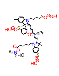 CCCC(/C=C/C1=[N+](CCCCCC(=O)ON(C=O)C(C)=O)c2ccc(SOOO)cc2C1(C)C)=C(\C=C\C=C1\N(CCCCSOOO)c2ccc(C)cc2C1(C)C)Oc1ccc(SOOO)cc1